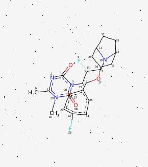 Cc1nc(=O)n(C[C@H](F)CN2C3CCC2CC(OCc2ccc(F)cc2)C3)c(=O)n1C